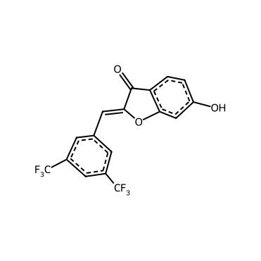 O=C1/C(=C/c2cc(C(F)(F)F)cc(C(F)(F)F)c2)Oc2cc(O)ccc21